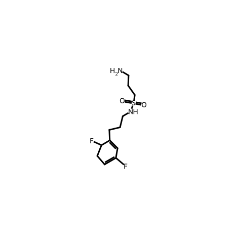 NCCCS(=O)(=O)NCCCC1=CC(F)=CCC1F